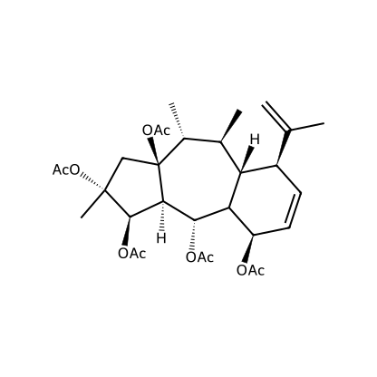 C=C(C)[C@H]1C=C[C@@H](OC(C)=O)C2[C@@H]1[C@H](C)[C@@H](C)[C@@]1(OC(C)=O)C[C@@](C)(OC(C)=O)[C@H](OC(C)=O)[C@@H]1[C@H]2OC(C)=O